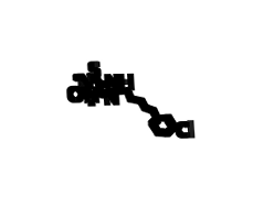 Cn1c(=S)c2[nH]c(CCCCCc3cccc(Cl)c3)nc2n(C)c1=O